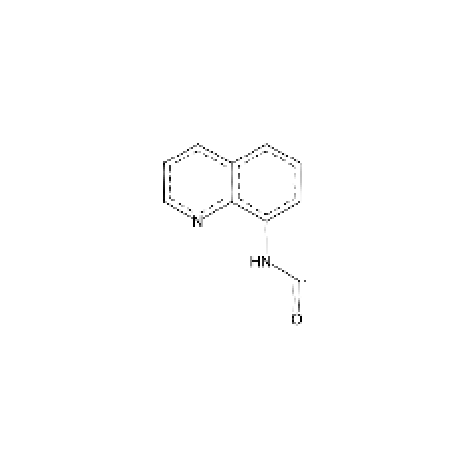 O=[C]Nc1cccc2cccnc12